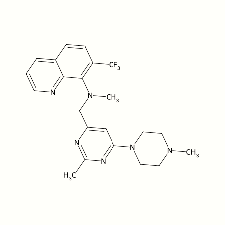 Cc1nc(CN(C)c2c(C(F)(F)F)ccc3cccnc23)cc(N2CCN(C)CC2)n1